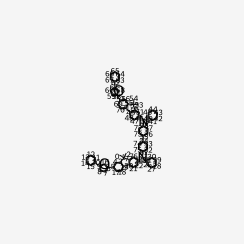 CC1(C)c2cc(-c3ccc(-c4ccccc4)o3)ccc2-c2ccc(N(c3ccccc3)c3ccc(-c4ccc(N(c5ccccc5)c5ccc6c(c5)C(C)(C)c5cc(-c7ccc(-c8ccccc8)o7)ccc5-6)cc4)cc3)cc21